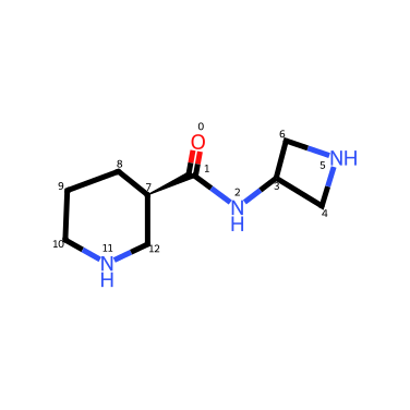 O=C(NC1CNC1)[C@@H]1CCCNC1